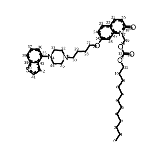 CCCCCCCCCCCCOC(=O)OCn1c(=O)ccc2ccc(OCCCCN3CCN(c4cccc5sccc45)CC3)cc21